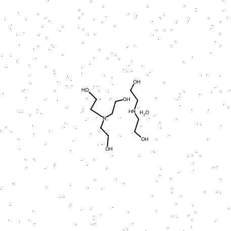 O.OCCN(CCO)CCO.OCCNCCO